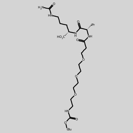 CC(C)[C@H](NC(=O)CCOCCOCCOCCNC(=O)OC(C)(C)C)C(=O)N[C@@H](CCCNC(N)=O)C(=O)O